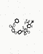 N#Cc1ncc(N2C(=O)C3(CCC3)N(c3ccc(O[C@@H]4CCN(C(=O)OCc5ccccc5)C4)cc3)C2=S)cc1C(F)(F)F